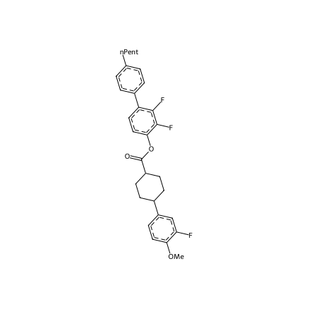 CCCCCc1ccc(-c2ccc(OC(=O)C3CCC(c4ccc(OC)c(F)c4)CC3)c(F)c2F)cc1